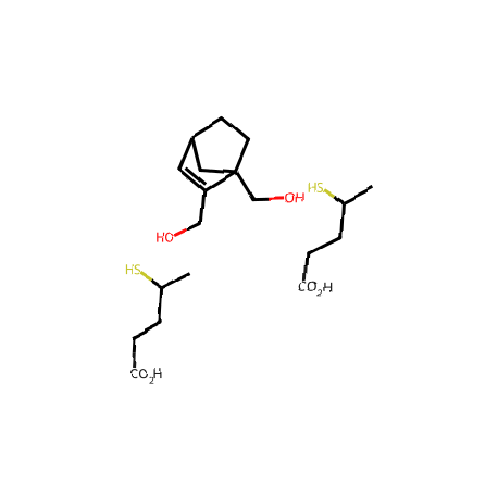 CC(S)CCC(=O)O.CC(S)CCC(=O)O.OCC1=CC2CCC1(CO)C2